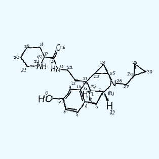 C[C@H]1[C@H]2Cc3ccc(O)cc3[C@]1(CCNC(=O)[C@@H]1CCCCN1)C1CC1N2CC1CC1